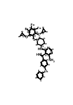 N=C(c1ccc(Oc2ccccc2)cc1)c1c(N)ncnc1NC1CCCN(Sc2c(OC3CC3)c(F)c(F)c(F)c2OC2CC2)C1